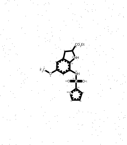 CCOC(=O)C1Cc2cc(OC(F)(F)F)cc(NS(=O)(=O)c3cccs3)c2N1